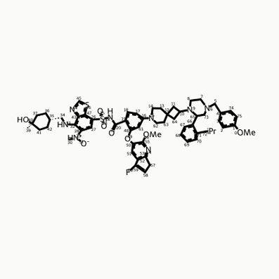 COc1ccc(CN2CCN(C3CC4(CCN(c5ccc(C(=O)NS(=O)(=O)c6cc([NH+](C)[O-])c(NC[C@H]7CC[C@](C)(O)CC7)c7ncsc67)c(Oc6cc7c(nc6OC)CC=C7F)c5)CC4)C3)C(c3ccccc3C(C)C)C2)cc1